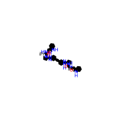 CC(C)[C@H](NC(=O)Cc1c[nH]c2ccccc12)C(=O)N1CCC[C@H]1c1nc2cc(C#Cc3ccc4[nH]c([C@@H]5CCCN5C(=O)[C@@H](NC(=O)Cc5c[nH]c6ccccc56)C(C)C)nc4c3)ccc2[nH]1